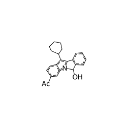 CC(=O)c1ccc2c(C3CCCCC3)c3n(c2c1)C(O)c1ccccc1-3